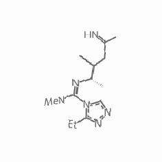 CCc1nncn1/C(=N\[C@@H](C)C(C)CC(C)=N)NC